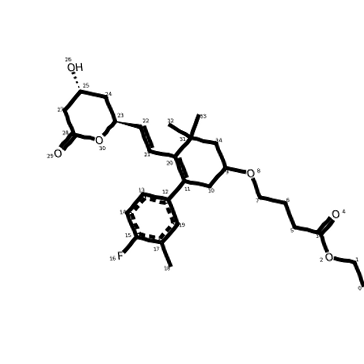 CCOC(=O)CCCOC1CC(c2ccc(F)c(C)c2)=C(/C=C/[C@@H]2C[C@@H](O)CC(=O)O2)C(C)(C)C1